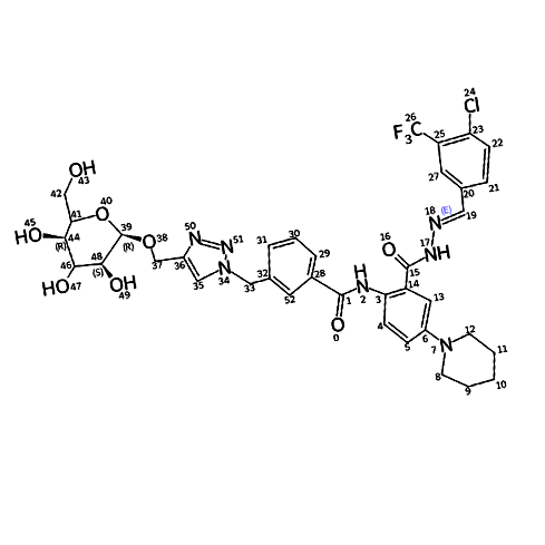 O=C(Nc1ccc(N2CCCCC2)cc1C(=O)N/N=C/c1ccc(Cl)c(C(F)(F)F)c1)c1cccc(Cn2cc(CO[C@@H]3OC(CO)[C@H](O)C(O)[C@@H]3O)nn2)c1